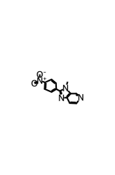 Cn1c(-c2ccc([N+](=O)[O-])cc2)nc2ccncc21